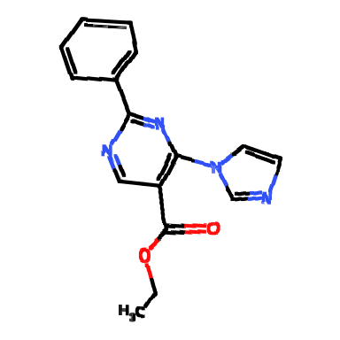 CCOC(=O)c1cnc(-c2ccccc2)nc1-n1ccnc1